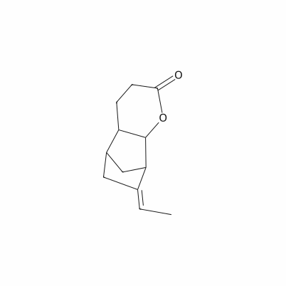 C/C=C1/CC2CC1C1OC(=O)CCC21